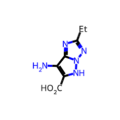 CCc1nc2c(N)c(C(=O)O)[nH]n2n1